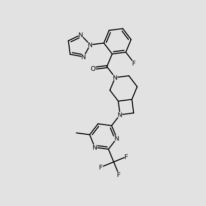 Cc1cc(N2CC3CCN(C(=O)c4c(F)cccc4-n4nccn4)CC32)nc(C(F)(F)F)n1